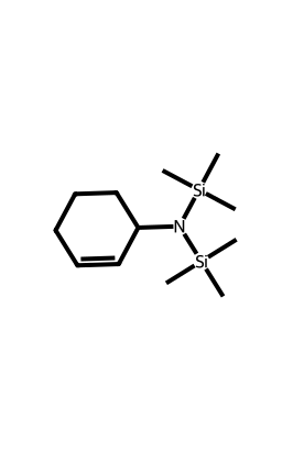 C[Si](C)(C)N(C1C=CCCC1)[Si](C)(C)C